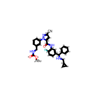 CCCCOC(=O)NCc1cccc(-n2nc(C#N)cc2C(=O)Nc2cc(C(NCC3CC3)c3ccccc3)ccc2F)c1